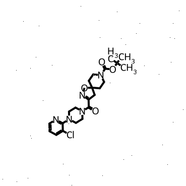 CC(C)(C)OC(=O)N1CCC2(CC1)CC(C(=O)N1CCN(c3ncccc3Cl)CC1)=NO2